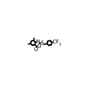 Cc1cc(C)c2nc(SCc3ccc(C(F)(F)F)cc3)oc(=O)c2c1